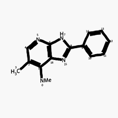 CNc1c(C)cnc2[nH]c(-c3ccccc3)nc12